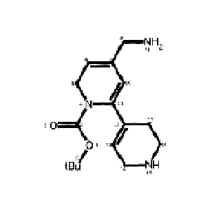 CC(C)(C)OC(=O)N1CC=C(CN)C=C1C1=CCNCC1